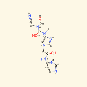 CN(c1cn(CC(O)Nc2ccncn2)cn1)C(O)N(C=O)CC#N